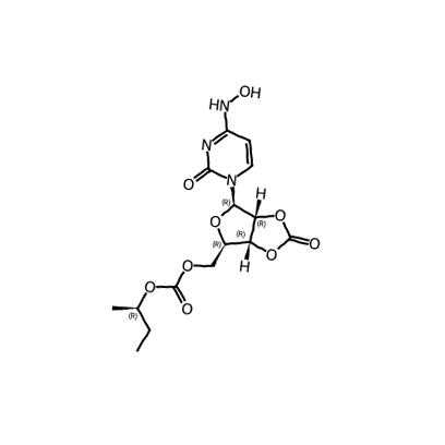 CC[C@@H](C)OC(=O)OC[C@H]1O[C@@H](n2ccc(NO)nc2=O)[C@@H]2OC(=O)O[C@@H]21